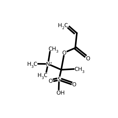 C=CC(=O)OC(C)([N+](C)(C)C)S(=O)(=O)O